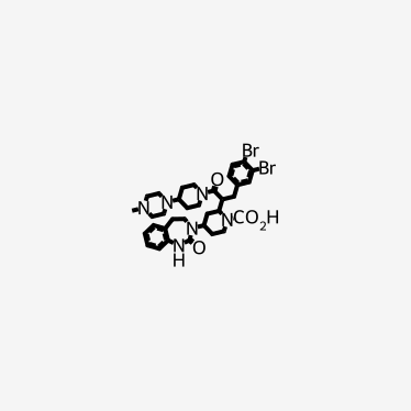 CN1CCN(C2CCN(C(=O)C(Cc3ccc(Br)c(Br)c3)C3CC(N4CCc5ccccc5NC4=O)CCN3C(=O)O)CC2)CC1